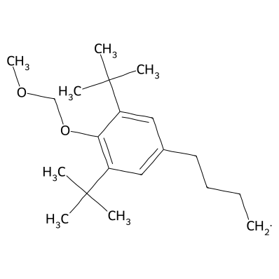 [CH2]CCCc1cc(C(C)(C)C)c(OCOC)c(C(C)(C)C)c1